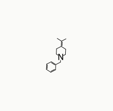 CC(C)=C1CCN(Cc2ccccc2)CC1